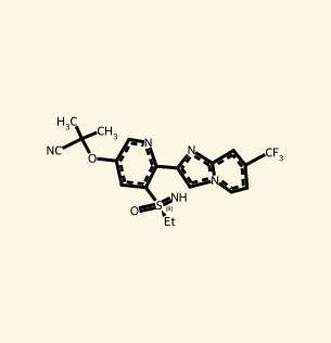 CC[S@@](=N)(=O)c1cc(OC(C)(C)C#N)cnc1-c1cn2ccc(C(F)(F)F)cc2n1